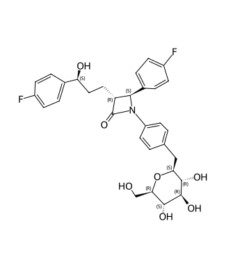 O=C1[C@H](CC[C@H](O)c2ccc(F)cc2)[C@@H](c2ccc(F)cc2)N1c1ccc(C[C@@H]2O[C@H](CO)[C@@H](O)[C@H](O)[C@H]2O)cc1